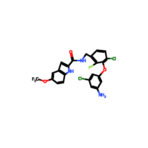 Nc1cc(Cl)cc(Oc2c(Cl)ccc(CNC(=O)c3cc4cc(OC(F)(F)F)ccc4[nH]3)c2F)c1